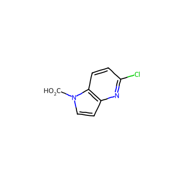 O=C(O)n1ccc2nc(Cl)ccc21